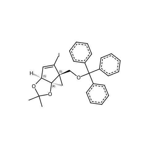 CC1(C)O[C@H]2C=C(I)[C@]3(COC(c4ccccc4)(c4ccccc4)c4ccccc4)C[C@]23O1